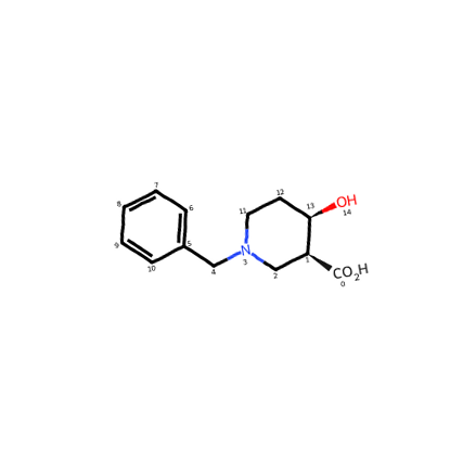 O=C(O)[C@H]1CN(Cc2ccccc2)CC[C@H]1O